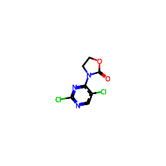 O=C1OCCN1c1nc(Cl)ncc1Cl